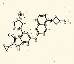 NC1CN(c2ncnc3cc(Sc4nc(N5CC[C@@H](N)C5)c5c(Cl)c(C6CC6)[nH]c5n4)ccc23)C1